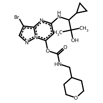 CC(C)(O)C(Nc1cc(OC(=O)NCC2CCOCC2)n2ncc(Br)c2n1)C1CC1